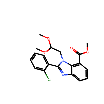 COC(=O)c1cccc2nc(-c3ccccc3Cl)n(CC(OC)OC)c12